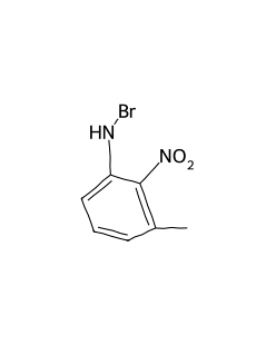 Cc1cccc(NBr)c1[N+](=O)[O-]